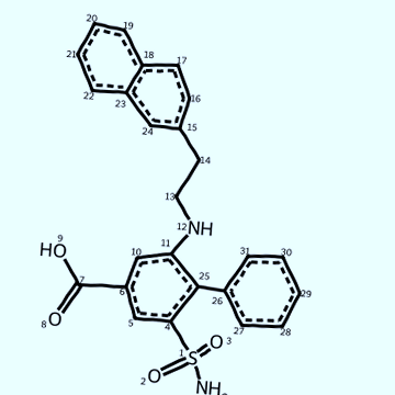 NS(=O)(=O)c1cc(C(=O)O)cc(NCCc2ccc3ccccc3c2)c1-c1ccccc1